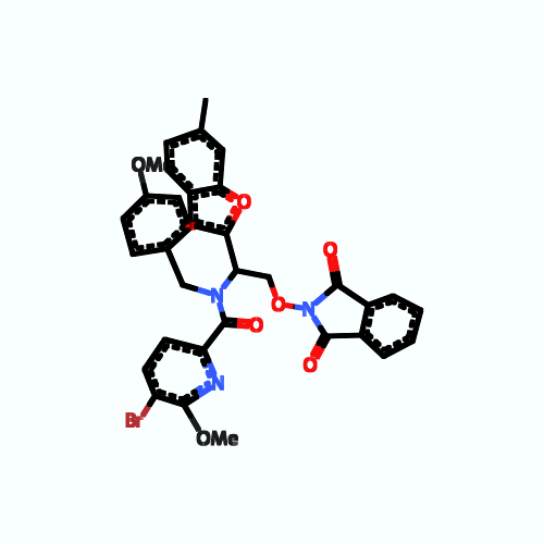 COc1ccc(CN(C(=O)c2ccc(Br)c(OC)n2)C(CON2C(=O)c3ccccc3C2=O)c2cc3ccc(C)cc3o2)cc1